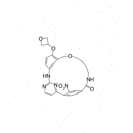 O=C1NCCCCOCc2cc(ccc2OC2COC2)Nc2nccc(n2)-c2ccc1cc2[N+](=O)[O-]